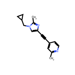 Cc1cc(C#Cc2cn(CC3CC3)c(C)n2)ccn1